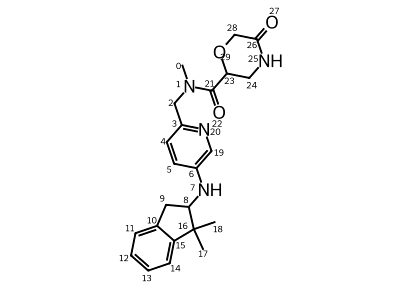 CN(Cc1ccc(NC2Cc3ccccc3C2(C)C)cn1)C(=O)C1CNC(=O)CO1